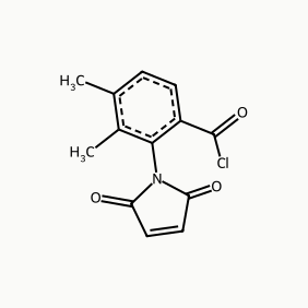 Cc1ccc(C(=O)Cl)c(N2C(=O)C=CC2=O)c1C